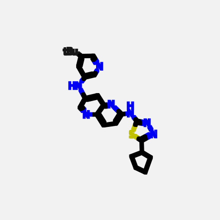 CC(C)(C)c1cncc(Nc2cnc3ccc(Nc4nnc(C5CCCC5)s4)nc3c2)c1